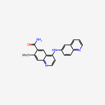 COc1cc2nccc(Nc3ccc4ncccc4c3)c2cc1C(N)=O